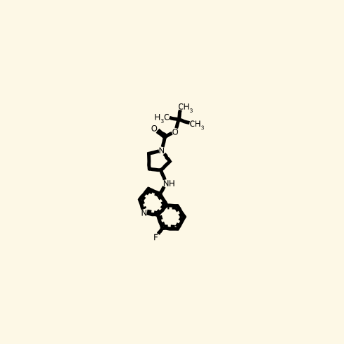 CC(C)(C)OC(=O)N1CCC(Nc2ccnc3c(F)cccc23)C1